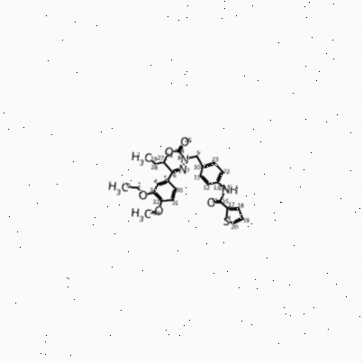 CCOc1cc(C2=NN(Cc3ccc(NC(=O)c4cccs4)cc3)C(=O)OC2CC)ccc1OC